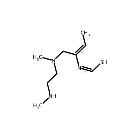 C/C=C(CN(C)CCNC)/N=C\S